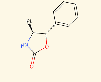 CC[C@@H]1NC(=O)O[C@H]1c1ccccc1